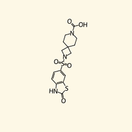 O=C(O)N1CCC2(CC1)CN(S(=O)(=O)c1ccc3[nH]c(=O)sc3c1)C2